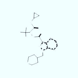 CC(C)(C)[C@H](NC(=O)c1nn(CC2CCOCC2)c2ccccc12)C(=O)NC1CC1